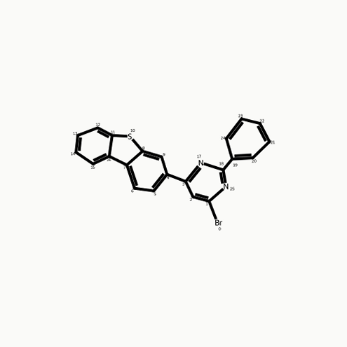 Brc1cc(-c2ccc3c(c2)sc2ccccc23)nc(-c2ccccc2)n1